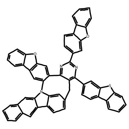 c1ccc2cc3c(cc2c1)c1ccc2cc1n3-c1cc3c(cc1-c1nc(-c4ccc5c(c4)oc4ccccc45)nc(-c4ccc5c(c4)sc4ccccc45)c1C2)oc1ccccc13